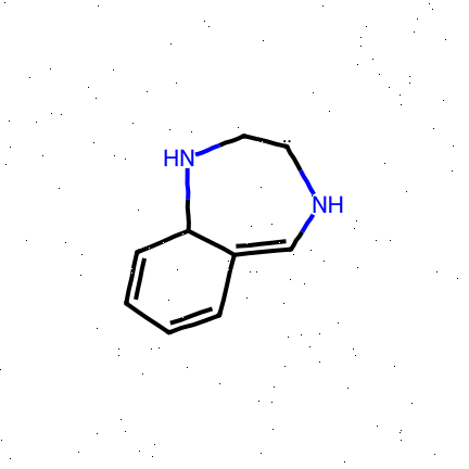 [C]1CNC2C=CC=CC2=CN1